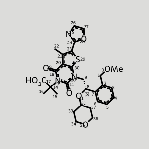 COCc1ccccc1[C@@H](Cn1c(=O)n(C(C)(C)C(=O)O)c(=O)c2c(C)c(-c3ncco3)sc21)OC1CCOCC1